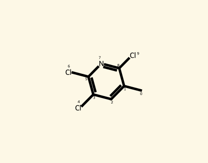 Cc1cc(Cl)c(Cl)nc1Cl